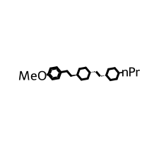 CCC[C@H]1CC[C@H](CC[C@H]2CC[C@H](CCc3ccc(OC)cc3)CC2)CC1